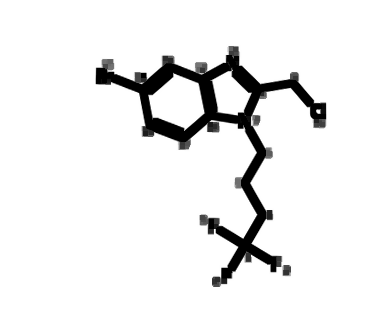 FC(F)(F)CCCn1c(CCl)nc2cc(Br)ccc21